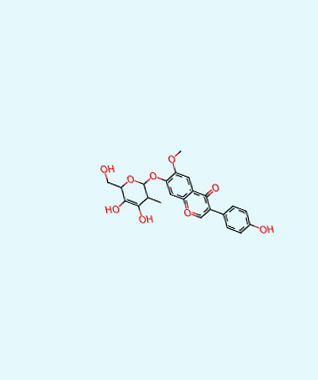 COc1cc2c(=O)c(-c3ccc(O)cc3)coc2cc1OC1OC(CO)C(O)=C(O)C1C